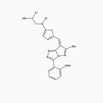 CCCCC(CC)CN(CC)c1ccc(/C=c2/c(C(C)(C)C)nn3c(-c4ccccc4OC)nnc23)s1